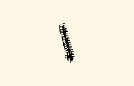 F[C](F)C(F)(F)C(F)(F)C(F)(F)C(F)(F)C(F)(F)C(F)(F)C(F)(F)C(F)(F)C(F)(F)C(F)(F)C(F)(F)C(F)(F)C(F)(C(F)(F)F)C(F)(F)F